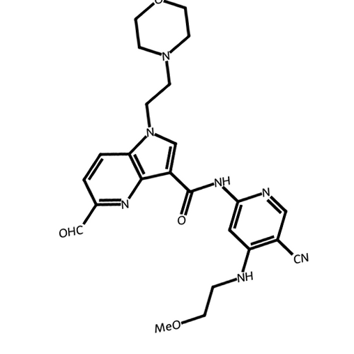 COCCNc1cc(NC(=O)c2cn(CCN3CCOCC3)c3ccc(C=O)nc23)ncc1C#N